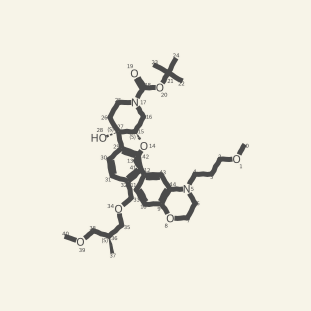 COCCCN1CCOc2ccc(CO[C@H]3CN(C(=O)OC(C)(C)C)CC[C@]3(O)c3ccc(COC[C@@H](C)COC)cc3)cc21